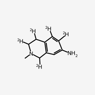 [2H]c1c(N)cc2c(c1[2H])C([2H])C([2H])N(C)C2[2H]